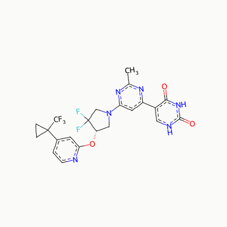 Cc1nc(-c2c[nH]c(=O)[nH]c2=O)cc(N2C[C@H](Oc3cc(C4(C(F)(F)F)CC4)ccn3)C(F)(F)C2)n1